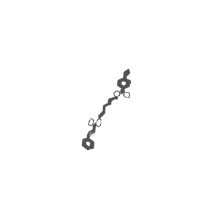 C=Cc1ccc(C(=O)OCCCCCCOC(=O)/C=C/c2ccccc2)cc1